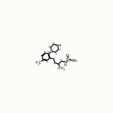 CC(CCc1cc(C(F)(F)F)ccc1N1CCNCC1)CN[S+]([O-])C(C)(C)C